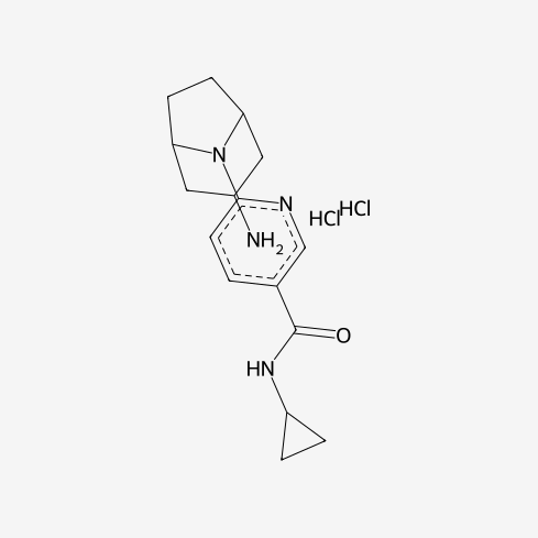 Cl.Cl.NC1CC2CCC(C1)N2c1ccc(C(=O)NC2CC2)cn1